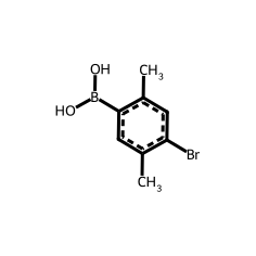 Cc1cc(B(O)O)c(C)cc1Br